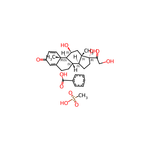 CS(=O)(=O)O.C[C@]12C=CC(=O)C=C1CC[C@@H]1[C@@H]2[C@@H](O)C[C@@]2(C)[C@H]1CC[C@]2(O)C(=O)CO.O=C(O)c1ccccc1